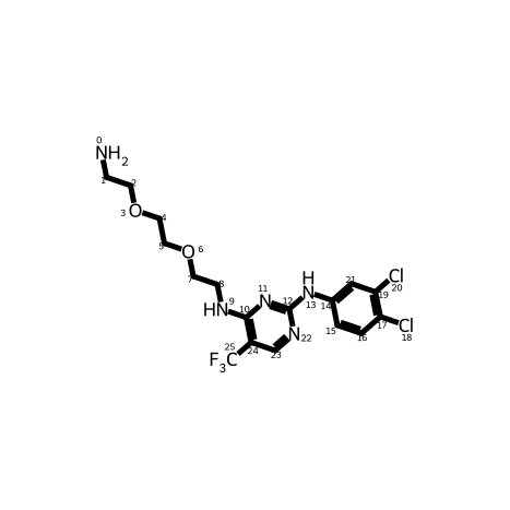 NCCOCCOCCNc1nc(Nc2ccc(Cl)c(Cl)c2)ncc1C(F)(F)F